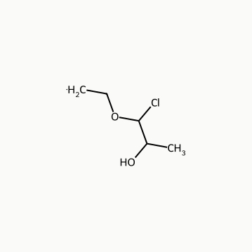 [CH2]COC(Cl)C(C)O